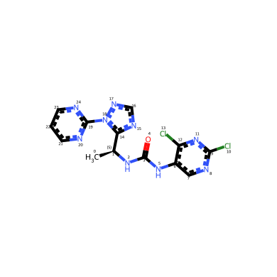 C[C@H](NC(=O)Nc1cnc(Cl)nc1Cl)c1ncnn1-c1ncccn1